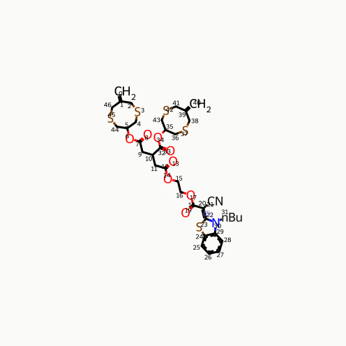 C=C1CSCC(OC(=O)CC(CC(=O)OCCOC(=O)/C(C#N)=C2\Sc3ccccc3N2CCCC)C(=O)OC2CSCC(=C)CSC2)CSC1